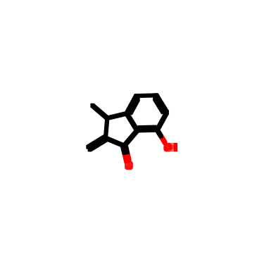 C=C1C(=O)c2c(O)cccc2C1C